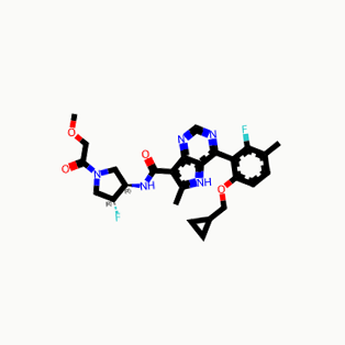 COCC(=O)N1C[C@@H](F)[C@H](NC(=O)c2c(C)[nH]c3c(-c4c(OCC5CC5)ccc(C)c4F)ncnc23)C1